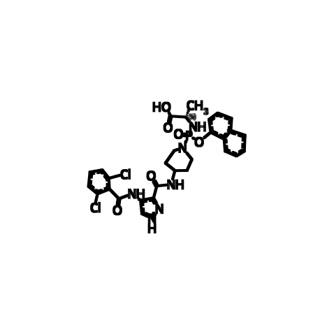 C[C@H](NP(=O)(Oc1cccc2ccccc12)N1CCC(NC(=O)c2n[nH]cc2NC(=O)c2c(Cl)cccc2Cl)CC1)C(=O)O